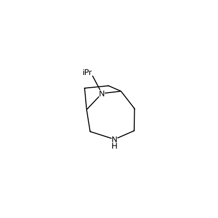 CC(C)N1C2CCNCC1CC2